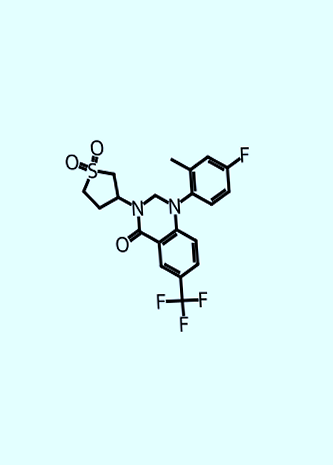 Cc1cc(F)ccc1N1CN(C2CCS(=O)(=O)C2)C(=O)c2cc(C(F)(F)F)ccc21